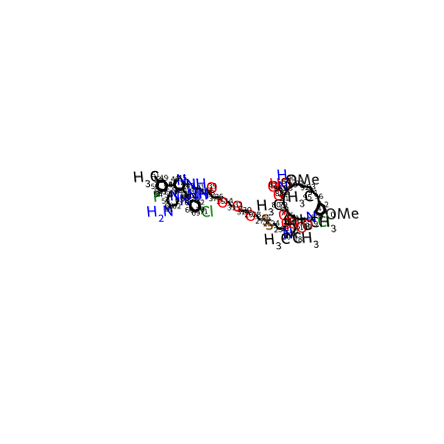 COc1cc2cc(c1Cl)N(C)C(=O)C[C@H](OC(=O)[C@@H](C)N(C)C(=O)CCSSCCOCCOCCOCCC(=O)NCCNc1ncc(-c3cc(C)cc(F)c3)c(N3CCC(N)CC3)c1-c1nc3ccc(Cl)cc3[nH]1)[C@]1(C)OC1[C@@H](C)C1C[C@@](O)(NC(=O)O1)[C@H](OC)/C=C/C=C(\C)C2